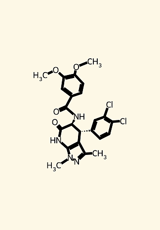 COc1ccc(C(=O)N[C@@H]2C(=O)Nc3c(c(C)nn3C)[C@H]2c2ccc(Cl)c(Cl)c2)cc1OC